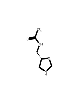 O=C(NC[C@H]1CNCO1)C(F)(F)F